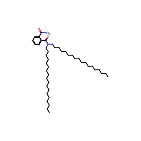 CCCCCCCCCCCCCCCCCCN(CCCCCCCCCCCCCCCCCC)C(=O)c1ccccc1C(N)=O